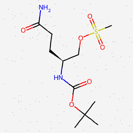 CC(C)(C)OC(=O)N[C@@H](CCC(N)=O)COS(C)(=O)=O